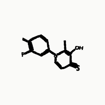 Cc1ccc(-n2ccc(=S)c(O)c2C)cc1F